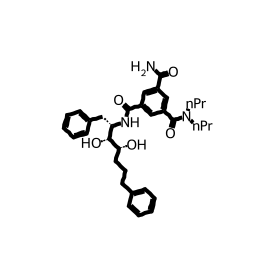 CCCN(CCC)C(=O)c1cc(C(N)=O)cc(C(=O)N[C@@H](Cc2ccccc2)[C@@H](O)[C@H](O)CCCc2ccccc2)c1